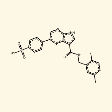 Cc1ccc(F)cc1CNC(=O)c1c[nH]c2ncc(-c3ccc(S(=O)(=O)C(C)C)cc3)nc12